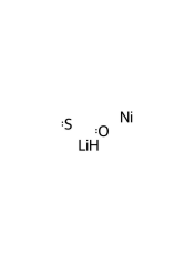 [LiH].[Ni].[O].[S]